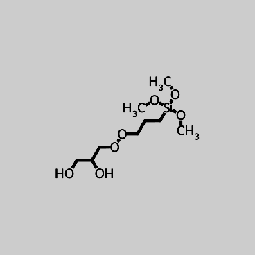 CO[Si](CCCOOCC(O)CO)(OC)OC